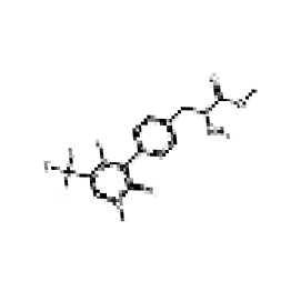 COC(=O)[C@@H](N)Cc1ccc(-c2c(C)c(C(F)(F)F)cn(C)c2=O)cc1